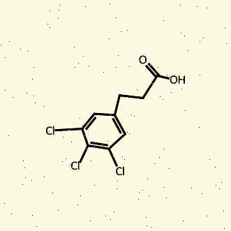 O=C(O)CCc1cc(Cl)c(Cl)c(Cl)c1